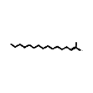 [CH2]/C(C)=C/CCCCCCCCCCCCC